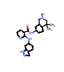 CC(=O)N1Cc2cc(NC(=O)c3cccnc3Nc3ccc4cn[nH]c4c3)ccc2C(C)(C)C1